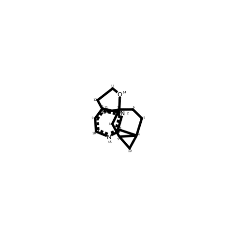 c1cnc(C23CCC4(CC2C3)OCCO4)nc1